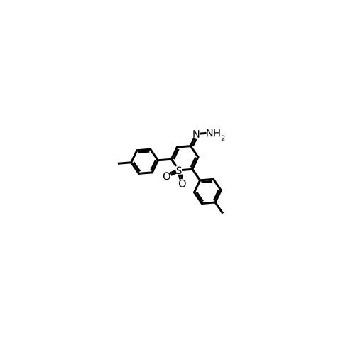 Cc1ccc(C2=CC(=NN)C=C(c3ccc(C)cc3)S2(=O)=O)cc1